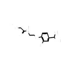 COCC(=O)NCCOc1ccc(C(C)C)cc1F